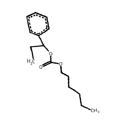 CCCCCCOC(=O)OC(CC)c1ccccc1